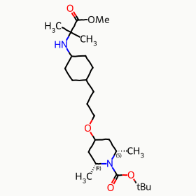 COC(=O)C(C)(C)NC1CCC(CCCOC2C[C@@H](C)N(C(=O)OC(C)(C)C)[C@@H](C)C2)CC1